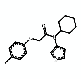 Cc1ccc(OCC(=O)N(c2ccsc2)C2CCCCC2)cc1